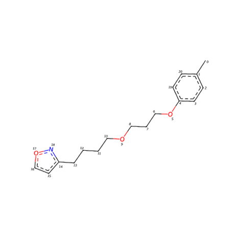 Cc1ccc(OCCCOCCCCc2ccon2)cc1